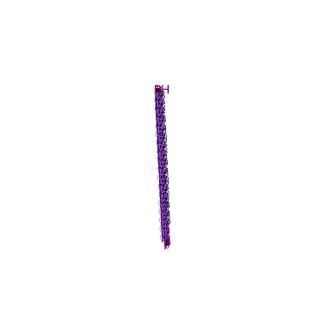 P#P=P\P=P/P=P\P=P/P=P\P=P/P=P\P=P/P=P\P=P/P=P\P=P/P=P\P=P/P=P\P=P/P=P\P=P/P=P\P=P/P=P\P=P/P=P\P=P/P=P\P=P/P=P\P=P/P=P\P=P/P=P\P=P/P=P\P=P/P=P\P=P